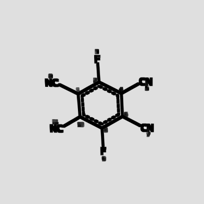 N#Cc1c(F)c(C#N)c(C#N)c(F)c1C#N